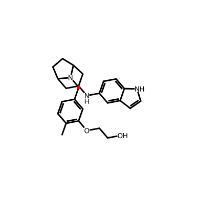 Cc1ccc(CN2C3CCC2CC(Nc2ccc4[nH]ccc4c2)C3)cc1OCCO